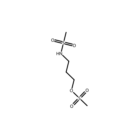 CS(=O)(=O)NCCCOS(C)(=O)=O